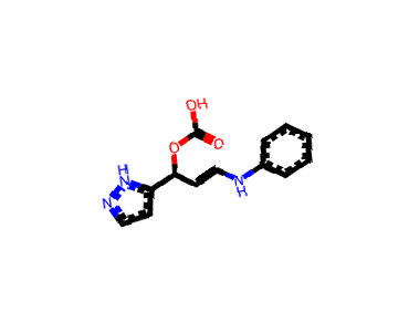 O=C(O)OC(C=CNc1ccccc1)c1ccn[nH]1